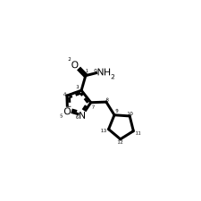 NC(=O)c1[c]onc1CC1CCCC1